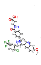 COc1ccc2cc(-c3cc(-c4cc(C(F)(F)F)ccc4Cl)nn3C(C)c3ccc(C(=O)NCCC(=O)O)cc3)cnc2c1